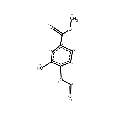 COC(=O)c1ccc(OC=O)c(O)c1